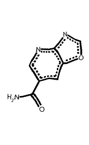 NC(=O)c1cnc2ncoc2c1